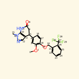 COc1cc(C2CC(=O)Nc3c2cnn3C)ccc1OCc1ccccc1C(F)(F)F